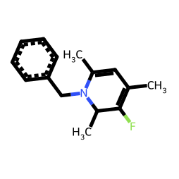 CC1=CC(C)=C(F)C(C)N1Cc1ccccc1